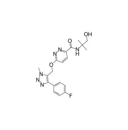 Cn1nnc(-c2ccc(F)cc2)c1COc1ccc(C(=O)NC(C)(C)CO)nn1